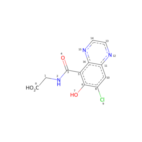 O=C(O)CNC(=O)c1c(O)c(Cl)cc2nccnc12